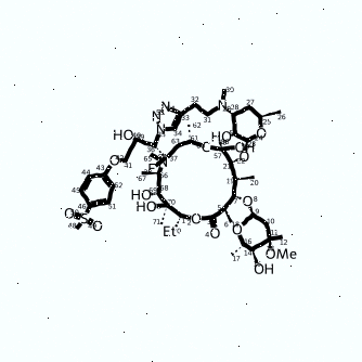 CC[C@H]1OC(=O)[C@H](C)[C@@H](O[C@H]2C[C@@](C)(OC)[C@@H](O)[C@H](C)O2)[C@H](C)[C@@H](O[C@@H]2O[C@H](C)C[C@H](N(C)CCc3cn([C@H](CF)[C@H](O)COc4ccc(S(C)(=O)=O)cc4)nn3)[C@H]2O)[C@](C)(O)C[C@@H](C)CN(C)[C@H](C)[C@@H](O)[C@]1(C)O